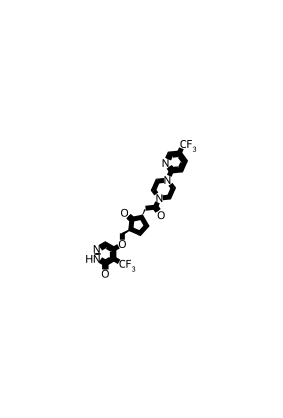 O=C1[C@H](COc2cn[nH]c(=O)c2C(F)(F)F)CC[C@H]1CC(=O)N1CCN(c2ccc(C(F)(F)F)cn2)CC1